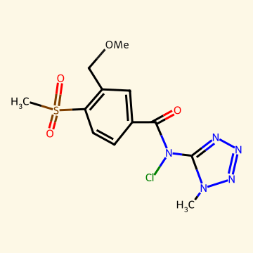 COCc1cc(C(=O)N(Cl)c2nnnn2C)ccc1S(C)(=O)=O